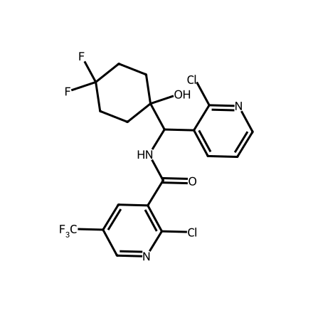 O=C(NC(c1cccnc1Cl)C1(O)CCC(F)(F)CC1)c1cc(C(F)(F)F)cnc1Cl